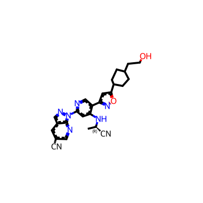 C[C@H](C#N)Nc1cc(-n2ncc3cc(C#N)cnc32)ncc1-c1cc(C2CCC(CCO)CC2)on1